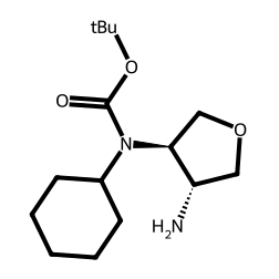 CC(C)(C)OC(=O)N(C1CCCCC1)[C@H]1COC[C@@H]1N